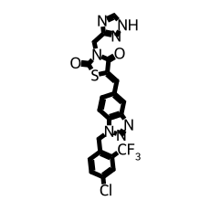 O=C1S/C(=C\c2ccc3c(c2)nnn3Cc2ccc(Cl)cc2C(F)(F)F)C(=O)N1Cc1nc[nH]n1